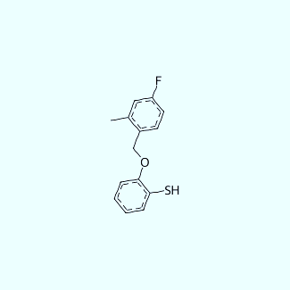 Cc1cc(F)ccc1COc1ccccc1S